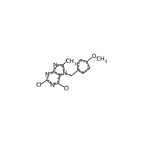 COc1ccc(Cn2c(C)nc3nc(Cl)nc(Cl)c32)cc1